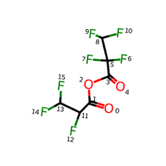 O=C(OC(=O)C(F)(F)C(F)F)C(F)C(F)F